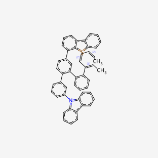 C\C=C/C=C\C(=C\C)c1ccccc1-c1cc(-c2cccc3c2sc2ccccc23)ccc1-c1cccc(-n2c3ccccc3c3ccccc32)c1